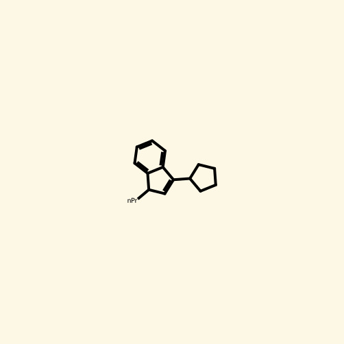 CCCC1C=C(C2CCCC2)c2ccccc21